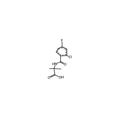 CC(C)(NC(=O)c1ccc(F)cc1Cl)C(=O)O